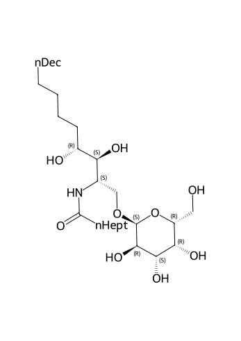 CCCCCCCCCCCCCC[C@@H](O)[C@@H](O)[C@H](CO[C@H]1O[C@H](CO)[C@H](O)[C@H](O)[C@H]1O)NC(=O)CCCCCCC